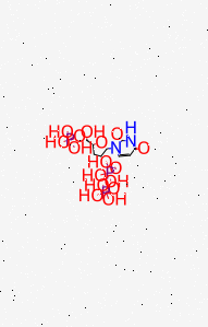 O=P(O)(O)O.O=P(O)(O)O.O=P(O)(O)O.O=c1ccn([C@H]2CC[C@@H](CO)O2)c(=O)[nH]1